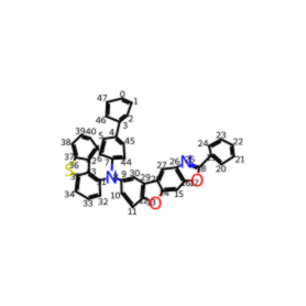 c1ccc(-c2ccc(N(c3ccc4oc5cc6oc(-c7ccccc7)nc6cc5c4c3)c3cccc4sc5ccccc5c34)cc2)cc1